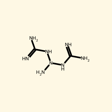 N=C(N)NN(N)NC(=N)N